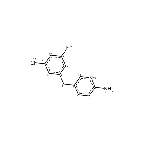 Nc1ccc(Cc2cc(F)cc(Cl)c2)cn1